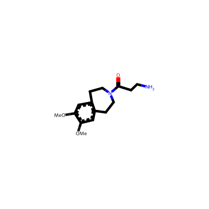 COc1cc2c(cc1OC)CCN(C(=O)CCN)CC2